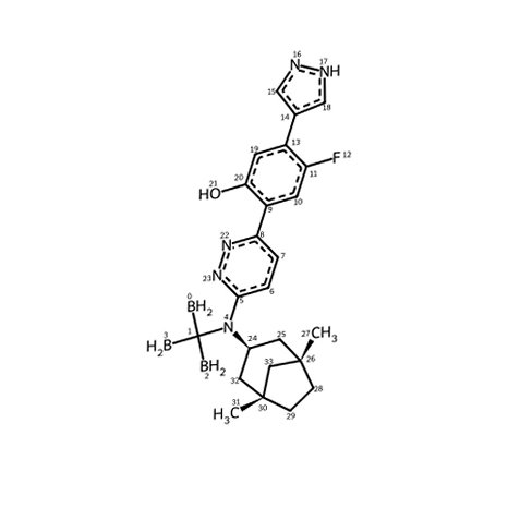 BC(B)(B)N(c1ccc(-c2cc(F)c(-c3cn[nH]c3)cc2O)nn1)[C@H]1C[C@]2(C)CC[C@](C)(C1)C2